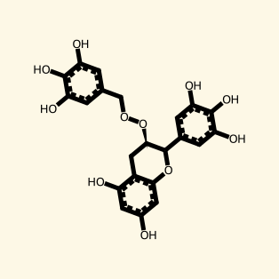 Oc1cc(O)c2c(c1)OC(c1cc(O)c(O)c(O)c1)[C@H](OOCc1cc(O)c(O)c(O)c1)C2